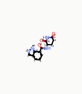 Cn1ncc2cccc(C(=O)NC3CCC(=O)NC3=O)c21